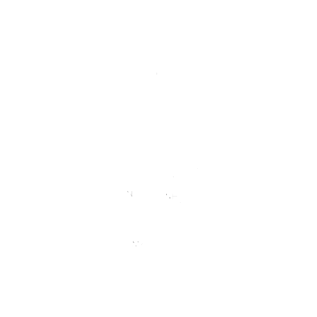 COC1CN(CC(C(N)=O)c2ccc(Cl)cc2)C1